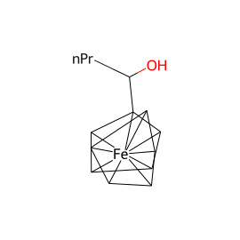 CCCC(O)[C]12[CH]3[CH]4[CH]5[CH]1[Fe]45321678[CH]2[CH]1[CH]6[CH]7[CH]28